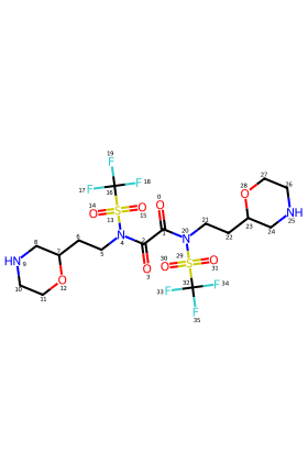 O=C(C(=O)N(CCC1CNCCO1)S(=O)(=O)C(F)(F)F)N(CCC1CNCCO1)S(=O)(=O)C(F)(F)F